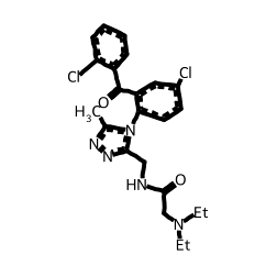 CCN(CC)CC(=O)NCc1nnc(C)n1-c1ccc(Cl)cc1C(=O)c1ccccc1Cl